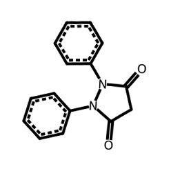 O=C1CC(=O)N(c2ccccc2)N1c1ccccc1